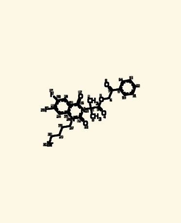 CC(C)(C(=O)OCC(=O)c1ccccc1)n1c(=O)c2cc(F)c(F)cc2n(CCCCBr)c1=O